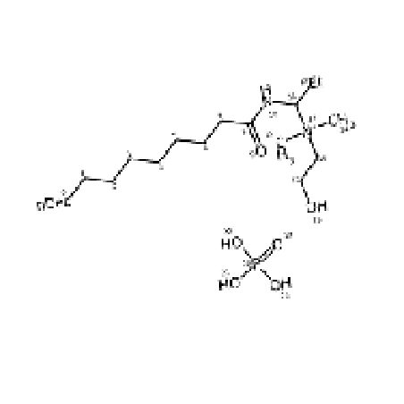 CCCCCCCCCCCCCCCCCC(=O)NC(CC)[N+](C)(C)CCO.O=P(O)(O)O